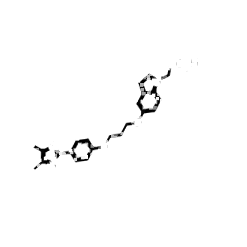 Cc1nc(-c2ccc(OCCCOc3ccc4c(ccn4CC(=O)O)c3)cc2)sc1C